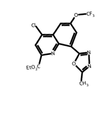 CCOC(=O)c1cc(Cl)c2cc(OC(F)(F)F)cc(-c3nnc(C)o3)c2n1